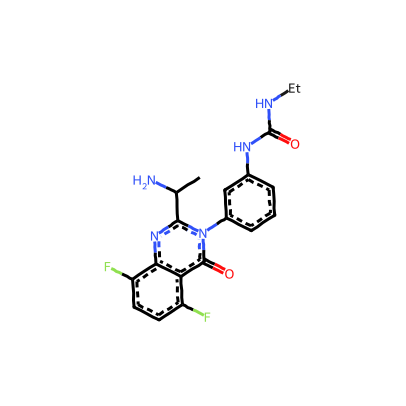 CCNC(=O)Nc1cccc(-n2c(C(C)N)nc3c(F)ccc(F)c3c2=O)c1